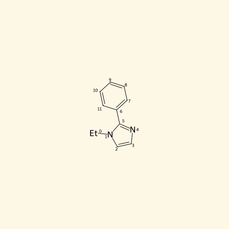 CCn1ccnc1-c1cc[c]cc1